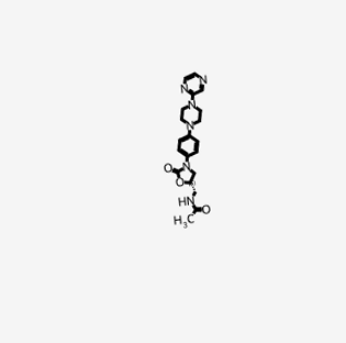 CC(=O)NC[C@H]1CN(c2ccc(N3CCN(c4cnccn4)CC3)cc2)C(=O)O1